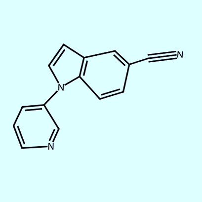 N#Cc1ccc2c(ccn2-c2cccnc2)c1